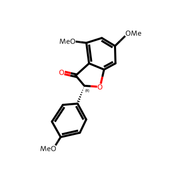 COc1ccc([C@H]2Oc3cc(OC)cc(OC)c3C2=O)cc1